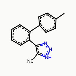 Cc1ccc(-c2ccccc2-c2nn[nH]c2C#N)cc1